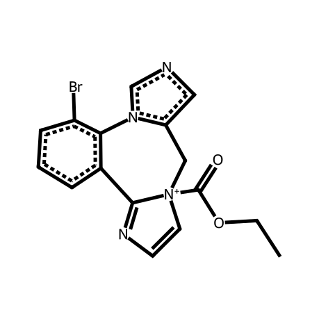 CCOC(=O)[N+]12C=CN=C1c1cccc(Br)c1-n1cncc1C2